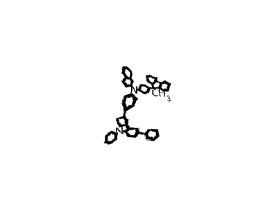 CC1(c2ccc(N(c3ccc(-c4ccc5c(c4)c4cc(-c6ccccc6)ccc4n5-c4ccccc4)cc3)c3ccc4ccccc4c3)cc2)c2ccccc2-c2ccccc21